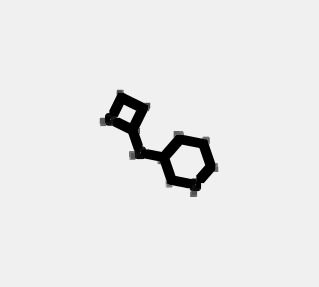 C1COCC(OC2CCO2)C1